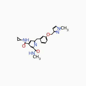 CNC(=O)c1cc(C(=O)NC2CC2)cc(Cc2cccc(OCc3ccn(C)n3)c2)n1